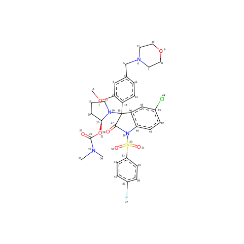 COc1cc(CN2CCOCC2)ccc1C1(N2CCC[C@@H]2OC(=O)N(C)C)C(=O)N(S(=O)(=O)c2ccc(F)cc2)c2ccc(Cl)cc21